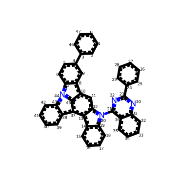 c1ccc(-c2ccc3c(c2)c2cc4c(c5ccccc5n4-c4nc(-c5ccccc5)nc5ccccc45)c4c5ccccc5n3c24)cc1